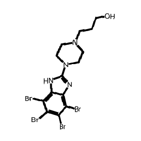 OCCCN1CCN(c2nc3c(Br)c(Br)c(Br)c(Br)c3[nH]2)CC1